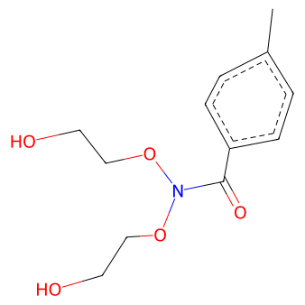 Cc1ccc(C(=O)N(OCCO)OCCO)cc1